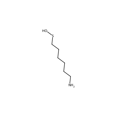 NCCCCCCSO